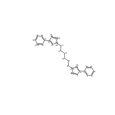 c1ccc(-c2cnn(CCCCCCn3cc(-c4cccnc4)nn3)n2)cc1